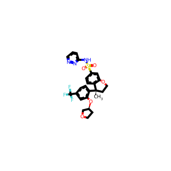 C[C@@]1(c2ccc(C(F)(F)F)cc2O[C@H]2CCOC2)CCOc2cc(S(=O)(=O)Nc3cccnn3)ccc21